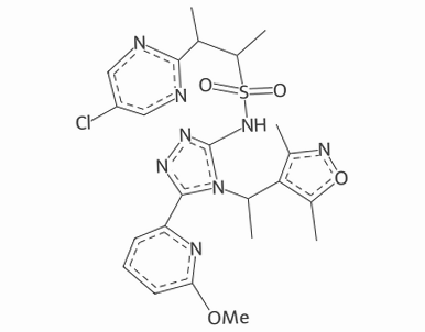 COc1cccc(-c2nnc(NS(=O)(=O)C(C)C(C)c3ncc(Cl)cn3)n2C(C)c2c(C)noc2C)n1